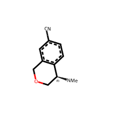 CN[C@H]1COCc2cc(C#N)ccc21